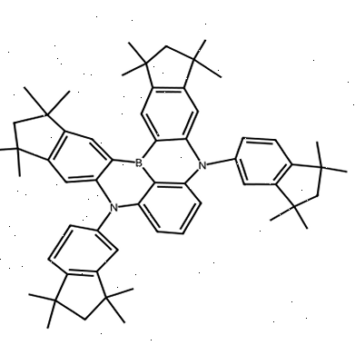 CC1(C)CC(C)(C)c2cc(N3c4cc5c(cc4B4c6cc7c(cc6N(c6ccc8c(c6)C(C)(C)CC8(C)C)c6cccc3c64)C(C)(C)CC7(C)C)C(C)(C)CC5(C)C)ccc21